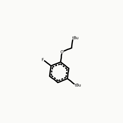 CC(C)(C)COc1cc(C(C)(C)C)ccc1F